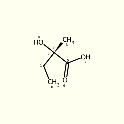 CC[C@](C)(O)C(=O)O